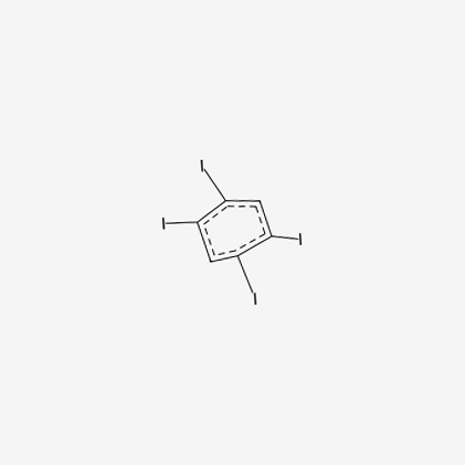 Ic1cc(I)c(I)cc1I